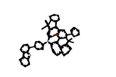 CC1(C)c2ccccc2-c2ccc(N(c3ccc(-c4cccc5c4sc4ccccc45)cc3)c3ccc4cccc5c4c3-c3cccc(-c4ccccc4)c3C5(C)C)cc21